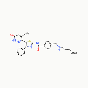 COCCCNCc1ccc(C(=O)Nc2nc(-c3ccccc3)c(-c3n[nH]c(=O)cc3C(C)C)s2)cc1